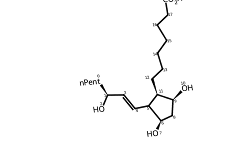 CCCCC[C@H](O)/C=C/C1[C@H](O)C[C@H](O)[C@@H]1CCCCCCC(=O)O